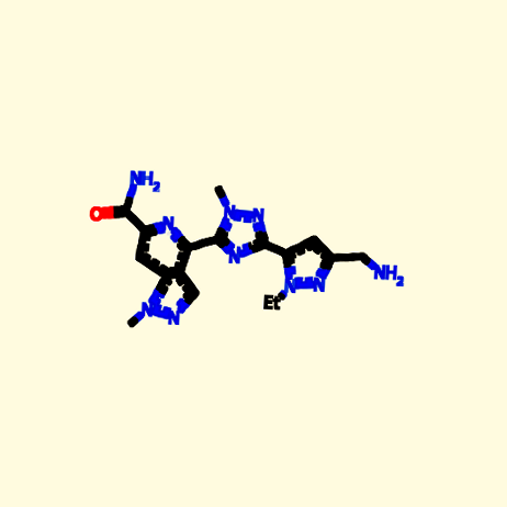 CCn1nc(CN)cc1-c1nc(-c2nc(C(N)=O)cc3c2cnn3C)n(C)n1